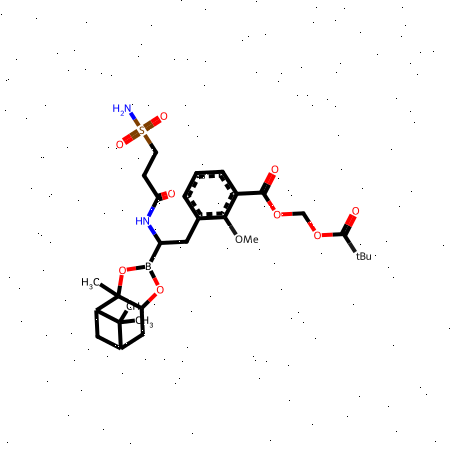 COc1c(CC(NC(=O)CCS(N)(=O)=O)B2OC3CC4CC(C4(C)C)C3(C)O2)cccc1C(=O)OCOC(=O)C(C)(C)C